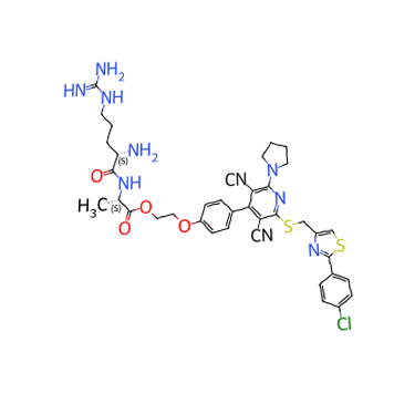 [C-]#[N+]c1c(N2CCCC2)nc(SCc2csc(-c3ccc(Cl)cc3)n2)c(C#N)c1-c1ccc(OCCOC(=O)[C@H](C)NC(=O)[C@@H](N)CCCNC(=N)N)cc1